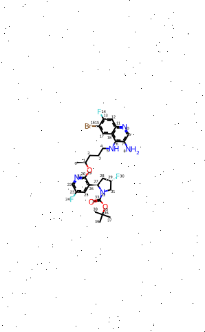 C[C@@H](CCCNc1c(N)cnc2cc(F)c(Br)cc12)Oc1ncc(F)cc1[C@H]1C[C@H](F)CN1C(=O)OC(C)(C)C